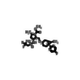 COC(=O)N1[C@H](C)C[C@H](NS(=O)(=O)CC(F)(F)F)[C@@H]1CO[C@H]1CC[C@@]2(c3ncc(F)cn3)C(C)C2C1